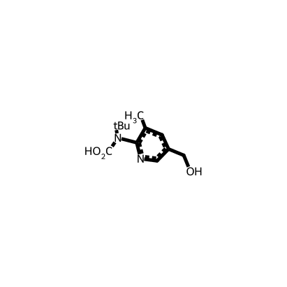 Cc1cc(CO)cnc1N(C(=O)O)C(C)(C)C